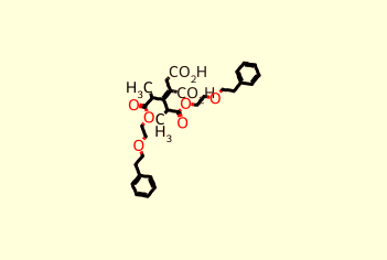 CC(C(=O)OCCOCCc1ccccc1)C(=C(CC(=O)O)C(=O)O)C(C)C(=O)OCCOCCc1ccccc1